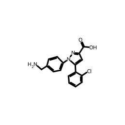 NCc1ccc(-n2nc(C(=O)O)cc2-c2ccccc2Cl)cc1